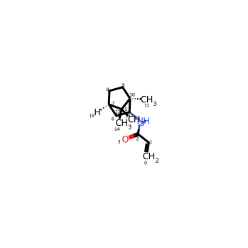 C=CC(=O)N[C@H]1C[C@H]2CC[C@]1(C)C2(C)C